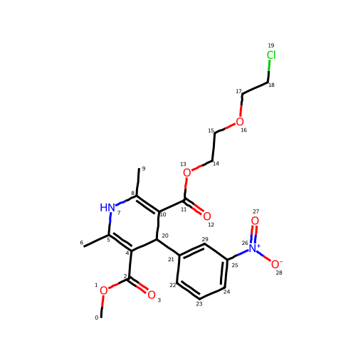 COC(=O)C1=C(C)NC(C)=C(C(=O)OCCOCCCl)C1c1cccc([N+](=O)[O-])c1